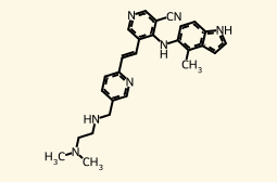 Cc1c(Nc2c(C#N)cncc2C=Cc2ccc(CNCCN(C)C)cn2)ccc2[nH]ccc12